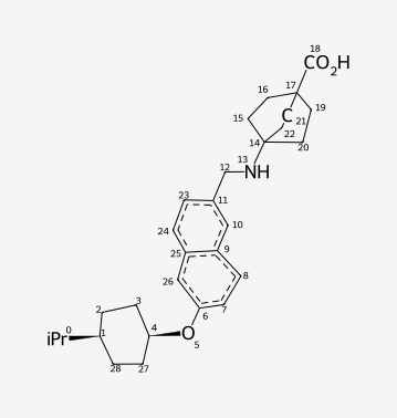 CC(C)[C@H]1CC[C@@H](Oc2ccc3cc(CNC45CCC(C(=O)O)(CC4)CC5)ccc3c2)CC1